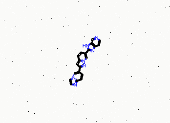 c1cc2nc(-c3ccc4cc(-c5ccc6nccn6c5)nn4c3)[nH]c2cn1